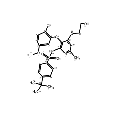 COc1ccc(Cl)c(Oc2c(NS(=O)(=O)c3ccc(C(C)(C)C)cc3)nc(C)nc2OCCO)c1